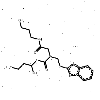 CCCCNC(=O)CC(CSc1nc2ccccc2s1)C(=O)OC(N)CCC